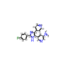 CN(C)c1cncc(-c2[nH]c(-c3ccc(F)cc3)nc2-c2ccncc2)c1